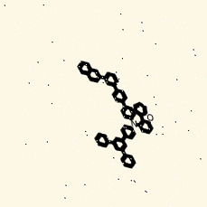 c1ccc(-c2cc(-c3ccccc3)cc(-c3ccc(N(c4ccc(-c5ccc(-c6cccc(-c7ccc8ccccc8c7)c6)cc5)cc4)c4cccc5oc6ccccc6c45)cc3)c2)cc1